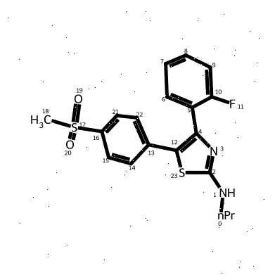 CCCNc1nc(-c2ccccc2F)c(-c2ccc(S(C)(=O)=O)cc2)s1